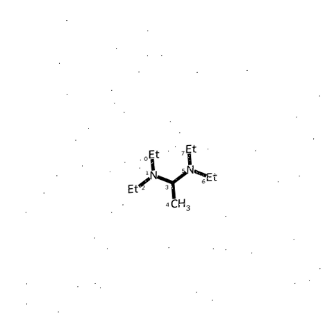 CCN(CC)C(C)N(CC)CC